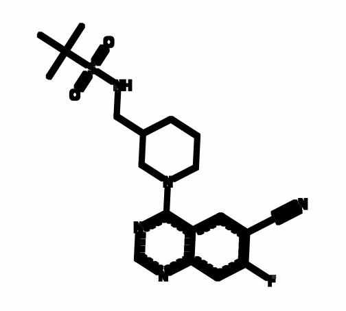 CC(C)(C)S(=O)(=O)NCC1CCCN(c2ncnc3cc(F)c(C#N)cc23)C1